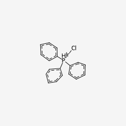 [Cl][Ir][PH](c1ccccc1)(c1ccccc1)c1ccccc1